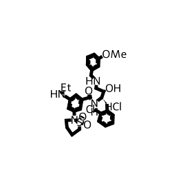 CCNc1cc(C(=O)N[C@@H](Cc2ccccc2Cl)[C@H](O)CNCc2cccc(OC)c2)cc(N2CCCCS2(=O)=O)c1.Cl